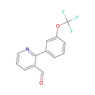 O=Cc1cccnc1-c1cccc(OC(F)(F)F)c1